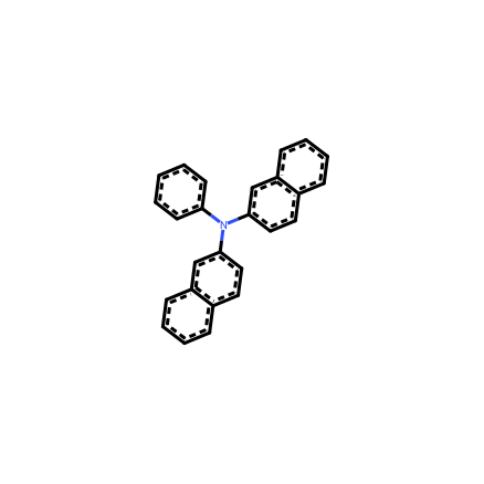 c1ccc(N(c2ccc3ccccc3c2)c2ccc3ccccc3c2)cc1